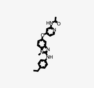 CCc1ccc(Nc2nc3cc(Oc4ccnc(NC(C)=O)c4)ccc3n2C)cc1